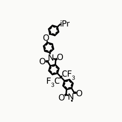 CC(C)c1ccc(Oc2ccc(N3C(=O)c4ccc(C(c5ccc6c(c5)C(=O)N(C)C6=O)(C(F)(F)F)C(F)(F)F)cc4C3=O)cc2)cc1